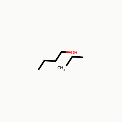 C.CCC.CCCCO